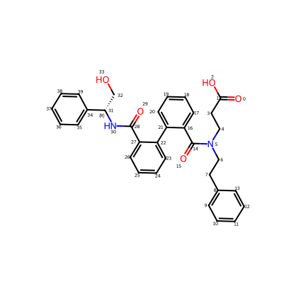 O=C(O)CCN(CCc1ccccc1)C(=O)c1ccccc1-c1ccccc1C(=O)N[C@@H](CO)c1ccccc1